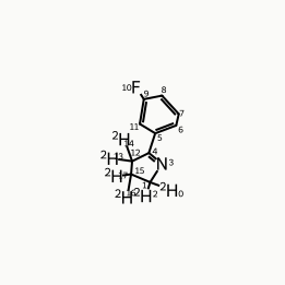 [2H]C1([2H])N=C(c2cccc(F)c2)C([2H])([2H])C1([2H])[2H]